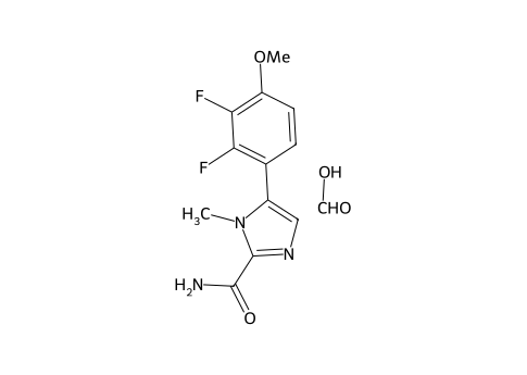 COc1ccc(-c2cnc(C(N)=O)n2C)c(F)c1F.O=CO